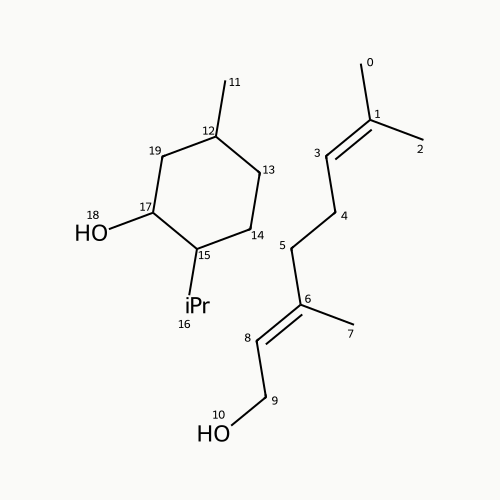 CC(C)=CCC/C(C)=C/CO.CC1CCC(C(C)C)C(O)C1